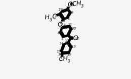 COc1ccc(Oc2ccc(C(=O)c3ccc(C)cc3)cc2)c(C)c1